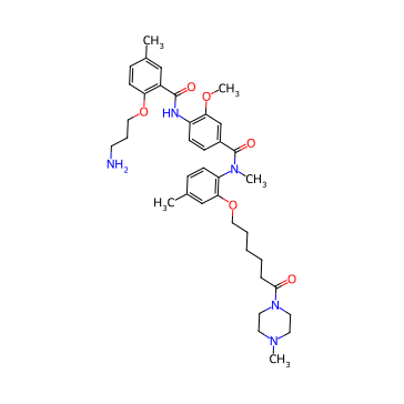 COc1cc(C(=O)N(C)c2ccc(C)cc2OCCCCCC(=O)N2CCN(C)CC2)ccc1NC(=O)c1cc(C)ccc1OCCCN